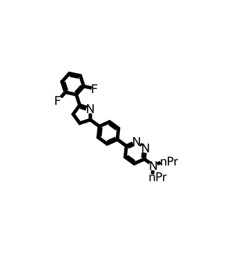 CCCN(CCC)c1ccc(-c2ccc(C3CCC(c4c(F)cccc4F)=N3)cc2)nn1